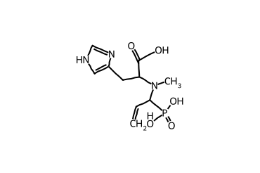 C=CC(N(C)C(Cc1c[nH]cn1)C(=O)O)P(=O)(O)O